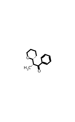 C[C@@H](C(=O)c1ccccc1)[C@H]1CCCCO1